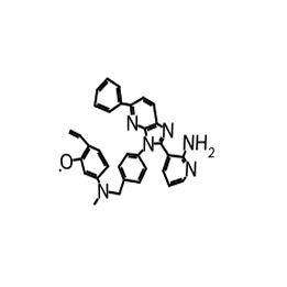 C=Cc1ccc(N(C)Cc2ccc(-n3c(-c4cccnc4N)nc4ccc(-c5ccccc5)nc43)cc2)cc1OC